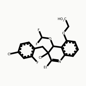 CCC1=Nc2cccc(OCC(=O)O)c2C(OC(F)F)C1(Cl)Cc1ccc(Cl)cc1F